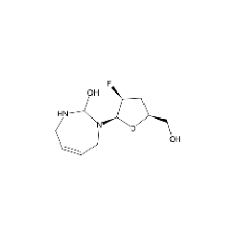 OC[C@@H]1C[C@H](F)[C@H](N2CC=CCNC2O)O1